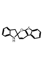 C1=CC2(Cc3ccccc3N2)Oc2sc3ccccc3c21